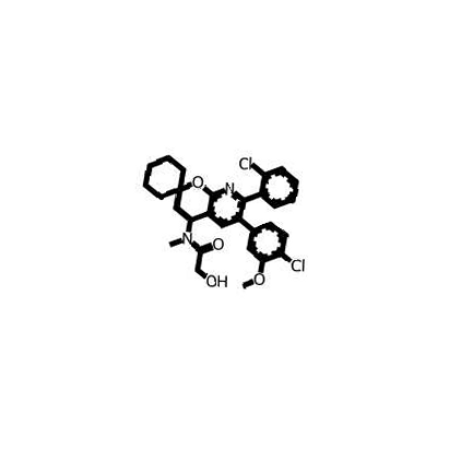 COc1cc(-c2cc3c(nc2-c2ccccc2Cl)OC2(CCCCC2)CC3N(C)C(=O)CO)ccc1Cl